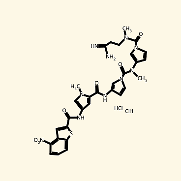 CN(CCC(=N)N)C(=O)n1ccc(N(C)C(=O)n2ccc(NC(=O)c3cc(NC(=O)c4cc5c([N+](=O)[O-])cccc5s4)cn3C)c2)c1.Cl.Cl